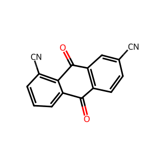 N#Cc1ccc2c(c1)C(=O)c1c(C#N)cccc1C2=O